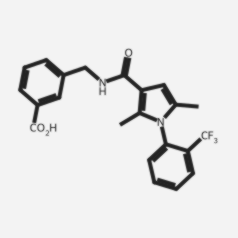 Cc1cc(C(=O)NCc2cccc(C(=O)O)c2)c(C)n1-c1ccccc1C(F)(F)F